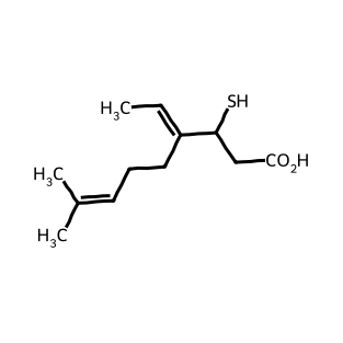 CC=C(CCC=C(C)C)C(S)CC(=O)O